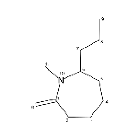 C=C1CCCCC(CCC)N1C